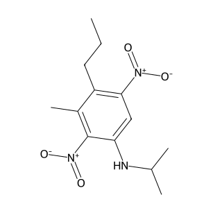 CCCc1c([N+](=O)[O-])cc(NC(C)C)c([N+](=O)[O-])c1C